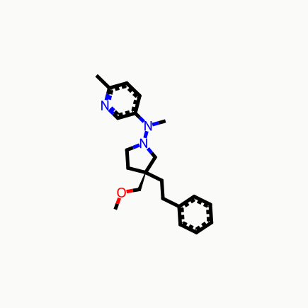 COC[C@@]1(CCc2ccccc2)CCN(N(C)c2ccc(C)nc2)C1